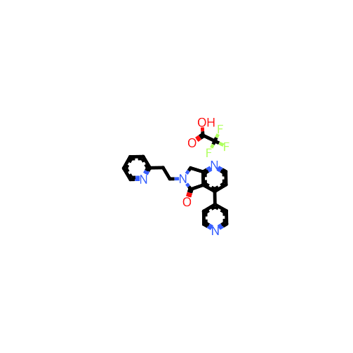 O=C(O)C(F)(F)F.O=C1c2c(-c3ccncc3)ccnc2CN1CCc1ccccn1